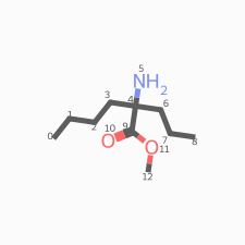 CCCCC(N)(CCC)C(=O)OC